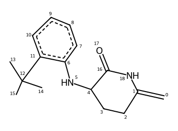 C=C1CCC(Nc2ccccc2C(C)(C)C)C(=O)N1